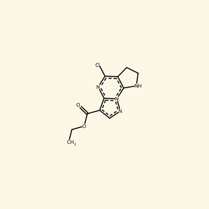 CCOC(=O)c1cnn2c3c(c(Cl)nc12)CCN3